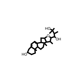 CC1C(C(O)C(C)C(C)(C)O)OC2CC3C4=CC=C5CC(O)CCC5(C)C4CCC3(C)C21